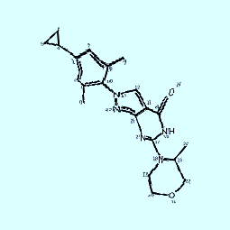 Cc1cc(C2CC2)cc(C)c1-n1cc2c(=O)[nH]c(N3CCOCC3C)nc2n1